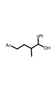 CCCC(O)C(C)CCC(C)=O